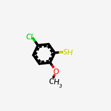 COc1ccc(Cl)cc1S